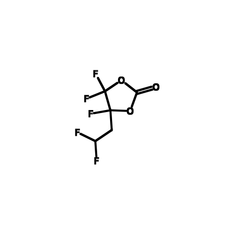 O=C1OC(F)(F)C(F)(CC(F)F)O1